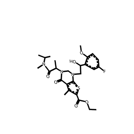 CCOC(=O)c1sc2c(c1C)C(=O)N(C(C)C(=O)N(C)C(C)C)CN2CC(O)c1cc(F)ccc1OC